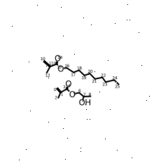 C=C(C)C(=O)OCC(C)O.C=C(C)C(=O)OCCCCCCCCCC